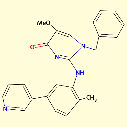 COc1cn(Cc2ccccc2)c(Nc2cc(-c3cccnc3)ccc2C)nc1=O